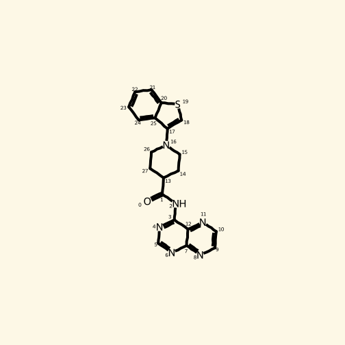 O=C(Nc1ncnc2nccnc12)C1CCN(c2csc3ccccc23)CC1